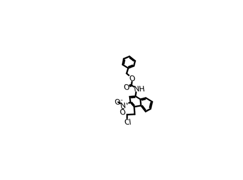 O=C(Nc1cc([N+](=O)[O-])c(CCCl)c2ccccc12)OCc1ccccc1